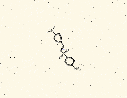 CN(C)c1ccc(/C=N/S(=O)(=O)c2ccc(N)cc2)cc1